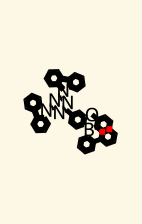 c1ccc(-c2ccccc2B2c3ccccc3Oc3cc(-c4nc(-n5c6ccccc6c6ccccc65)nc(-n5c6ccccc6c6ccccc65)n4)ccc32)cc1